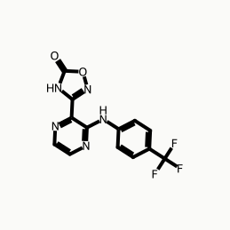 O=c1[nH]c(-c2nccnc2Nc2ccc(C(F)(F)F)cc2)no1